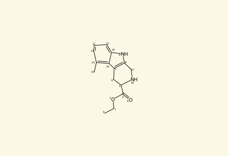 CCOC(=O)C1Cc2c([nH]c3cccc(C)c23)CN1